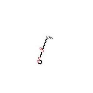 CCCCCCCCCCCCCCCCCC(=O)OCCCCOC1CCCCO1